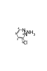 Clc1cccnn1.N